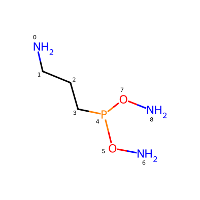 NCCCP(ON)ON